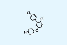 Clc1ccc(-c2cc(OC3CCNCC3)ccc2Cl)cc1